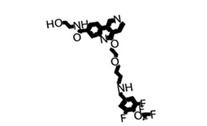 O=C(NCCO)c1ccc2c(c1)nc(OCCOCCCCNCc1cc(F)c(OC(F)(F)F)c(F)c1)c1ccncc12